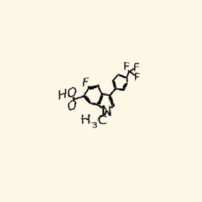 Cn1cc(-c2ccc(C(F)(F)F)cc2)c2cc(F)c(C(=O)O)cc21